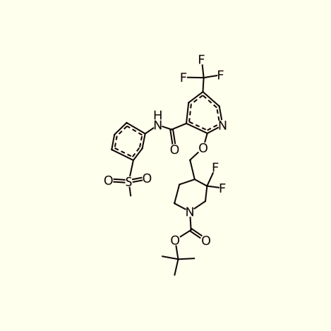 CC(C)(C)OC(=O)N1CCC(COc2ncc(C(F)(F)F)cc2C(=O)Nc2cccc(S(C)(=O)=O)c2)C(F)(F)C1